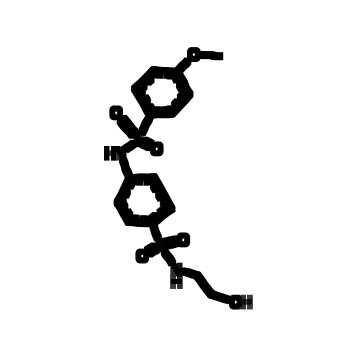 COc1ccc(S(=O)(=O)Nc2ccc(S(=O)(=O)NCCO)cc2)cc1